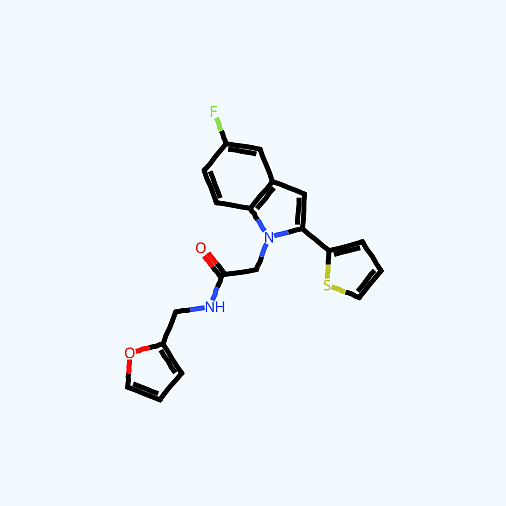 O=C(Cn1c(-c2cccs2)cc2cc(F)ccc21)NCc1ccco1